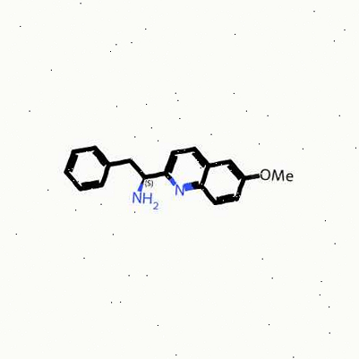 COc1ccc2nc([C@@H](N)Cc3ccccc3)ccc2c1